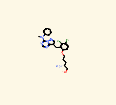 CN(c1ccccc1)c1ncnc2c(Cc3c(OCCC[C@@H](N)CO)ccc(Cl)c3Cl)cnn12